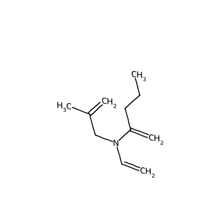 C=CN(CC(=C)C)C(=C)CCC